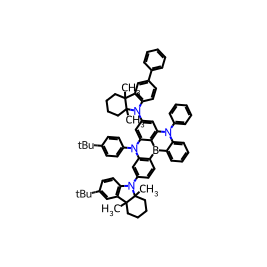 CC(C)(C)c1ccc(N2c3cc(N4c5ccc(C(C)(C)C)cc5C5(C)CCCCC45C)ccc3B3c4ccccc4N(c4ccccc4)c4cc(N5c6ccc(-c7ccccc7)cc6C6(C)CCCCC56C)cc2c43)cc1